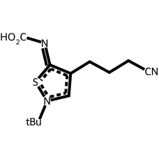 CC(C)(C)n1cc(CCCC#N)c(=NC(=O)O)s1